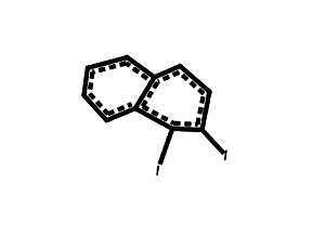 Ic1ccc2ccccc2c1I